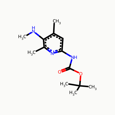 CNc1c(C)cc(NC(=O)OC(C)(C)C)nc1C